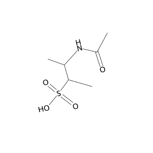 CC(=O)NC(C)C(C)S(=O)(=O)O